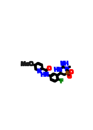 COc1ccc(C(=O)Nc2ccc(F)c(C3CS(=O)(=O)N(C)C(=N)N3)c2)nc1